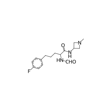 CN1CC(NC(=O)C(CCCc2ccc(F)cc2)NC=O)C1